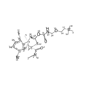 CN(C)C(=O)[C@]12C[C@H]1[C@@](C)(c1cc(Br)ccc1F)N=C(OC(=O)NCOCC[Si](C)(C)C)S2